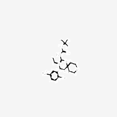 CC[N+]1=C(NC(=O)OC(C)(C)C)OC2(CCOCC2)C[C@H]1c1cc(Br)ccc1F